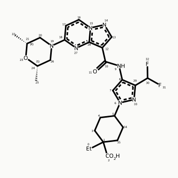 CCC1(C(=O)O)CCC(n2cc(NC(=O)c3cnn4ccc(N5C[C@@H](C)O[C@@H](C)C5)nc34)c(C(F)F)n2)CC1